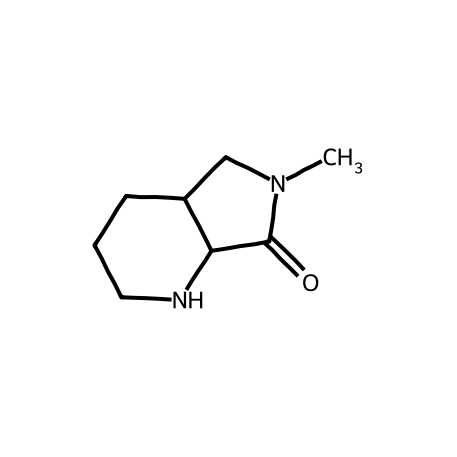 CN1CC2CCCNC2C1=O